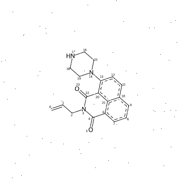 C=CCN1C(=O)c2cccc3ccc(N4CCNCC4)c(c23)C1=O